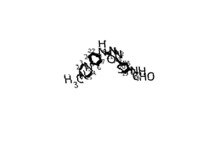 CN1CCN(c2ccc(Nc3nnc(-c4cc(NC=O)cs4)o3)cc2)CC1